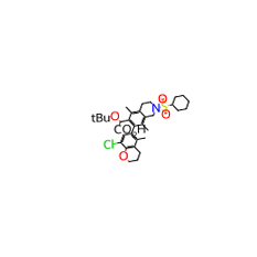 Cc1c(-c2c(C)c3c(c(C)c2[C@H](OC(C)(C)C)C(=O)O)CCN(S(=O)(=O)C2CCCCC2)C3)cc(Cl)c2c1CCCO2